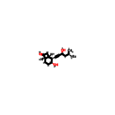 CCCC[C@@H](C)C[C@H](O)C#C[C@H]1[C@@H]2CC(=O)[C@@H]2CC[C@H]1O